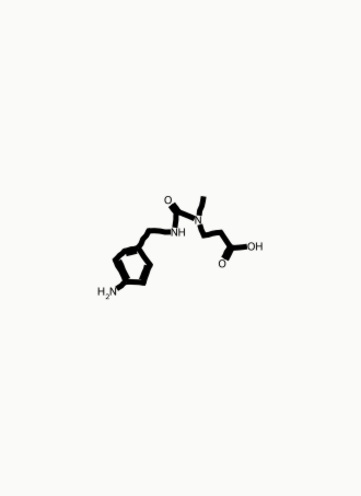 CN(CCC(=O)O)C(=O)NCc1ccc(N)cc1